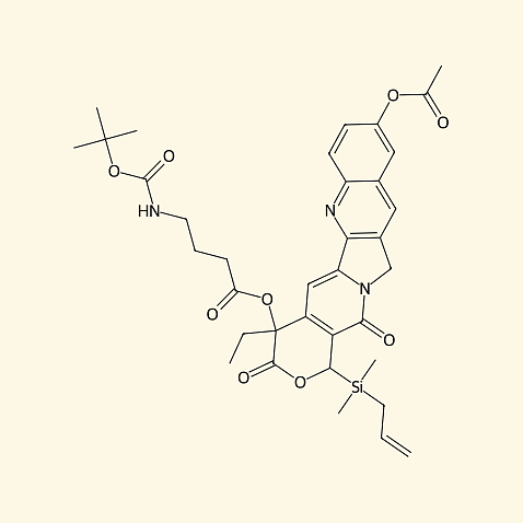 C=CC[Si](C)(C)C1OC(=O)C(CC)(OC(=O)CCCNC(=O)OC(C)(C)C)c2cc3n(c(=O)c21)Cc1cc2cc(OC(C)=O)ccc2nc1-3